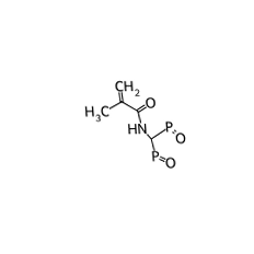 C=C(C)C(=O)NC(P=O)P=O